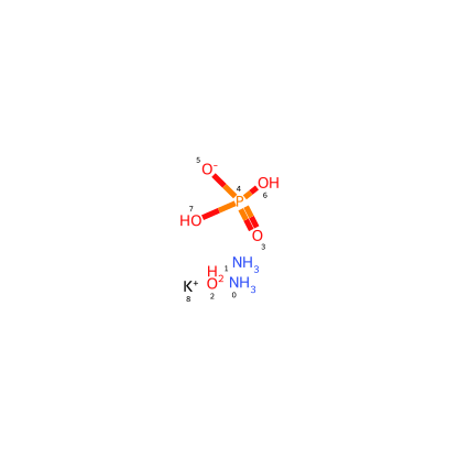 N.N.O.O=P([O-])(O)O.[K+]